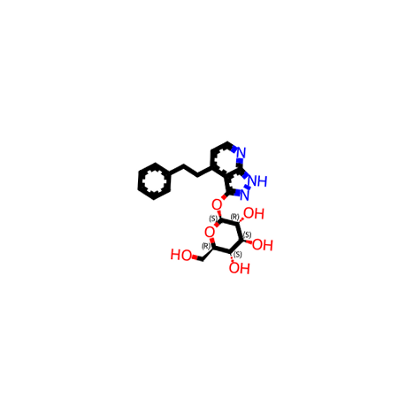 OC[C@H]1O[C@@H](Oc2n[nH]c3nccc(CCc4ccccc4)c23)[C@H](O)[C@@H](O)[C@@H]1O